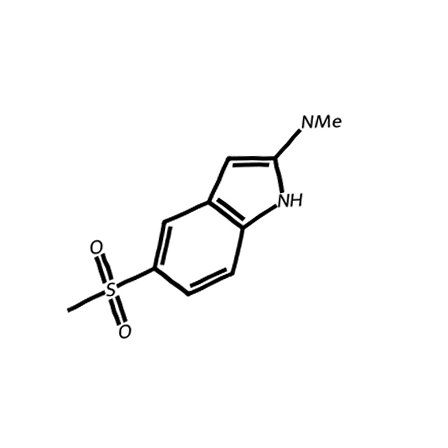 CNc1cc2cc(S(C)(=O)=O)ccc2[nH]1